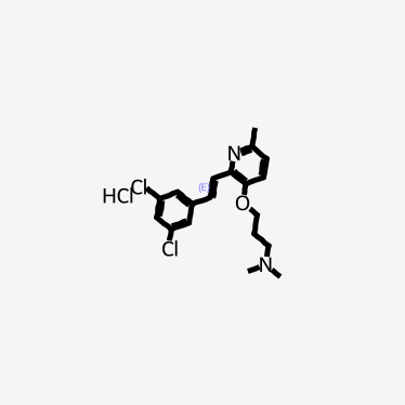 Cc1ccc(OCCCN(C)C)c(/C=C/c2cc(Cl)cc(Cl)c2)n1.Cl